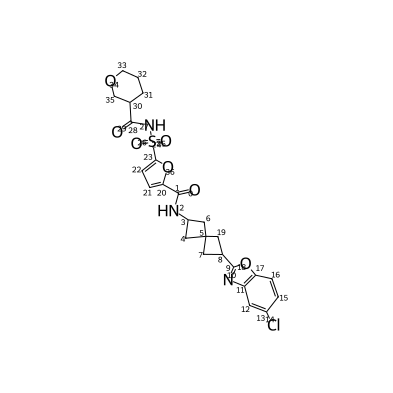 O=C(NC1CC2(C1)CC(c1nc3cc(Cl)ccc3o1)C2)c1ccc(S(=O)(=O)NC(=O)C2CCCOC2)o1